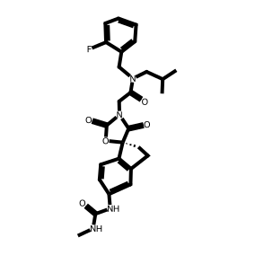 CNC(=O)Nc1ccc2c(c1)CC[C@@]21OC(=O)N(CC(=O)N(Cc2ccccc2F)CC(C)C)C1=O